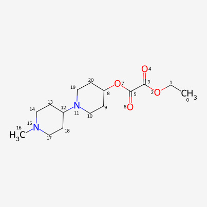 CCOC(=O)C(=O)OC1CCN(C2CCN(C)CC2)CC1